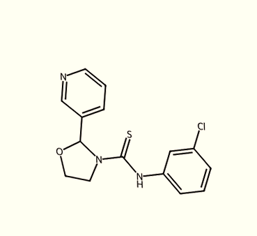 S=C(Nc1cccc(Cl)c1)N1CCOC1c1cccnc1